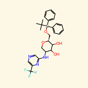 CC(C)(C)[Si](OC[C@@H]1OCC(Nc2cncc(C(F)(F)F)n2)C(O)C1O)(c1ccccc1)c1ccccc1